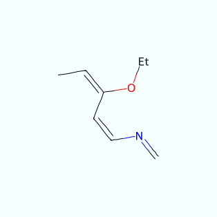 C=N/C=C\C(=C/C)OCC